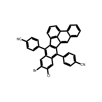 N#Cc1ccc(-c2c3c(c(-c4ccc(C#N)cc4)c4cc(Br)c(Cl)cc24)-c2cccc4c2c-3cc2ccccc24)cc1